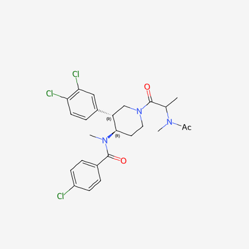 CC(=O)N(C)C(C)C(=O)N1CC[C@@H](N(C)C(=O)c2ccc(Cl)cc2)[C@H](c2ccc(Cl)c(Cl)c2)C1